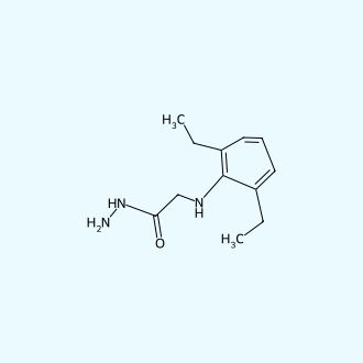 CCc1cccc(CC)c1NCC(=O)NN